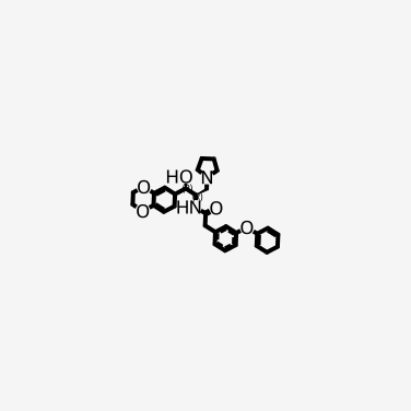 O=C(Cc1cccc(OC2=CCCC=C2)c1)N[C@H](CN1CCCC1)[C@H](O)C1C=C2OCCOC2=CC1